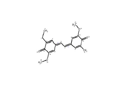 CCC1=C/C(=C/C=C2/C=C(C)C(=O)C(OC)=C2)C=C(OC)C1=O